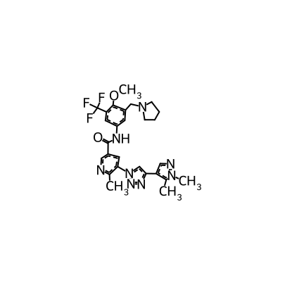 COc1c(CN2CCCC2)cc(NC(=O)c2cnc(C)c(-n3cc(-c4cnn(C)c4C)nn3)c2)cc1C(F)(F)F